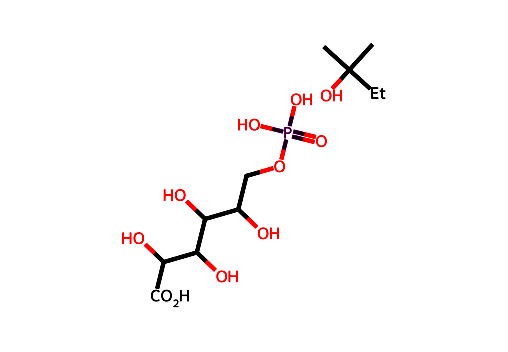 CCC(C)(C)O.O=C(O)C(O)C(O)C(O)C(O)COP(=O)(O)O